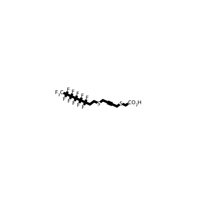 O=C(O)CSCC#CCSCCC(F)(F)C(F)(F)C(F)(F)C(F)(F)C(F)(F)C(F)(F)F